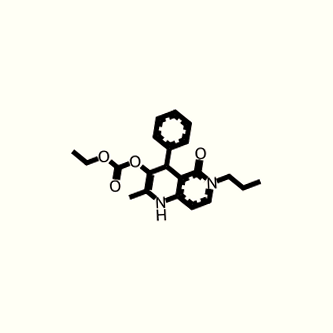 CCCn1ccc2c(c1=O)C(c1ccccc1)C(OC(=O)OCC)=C(C)N2